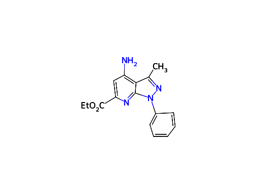 CCOC(=O)c1cc(N)c2c(C)nn(-c3ccccc3)c2n1